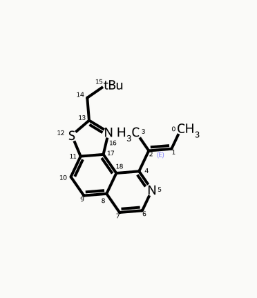 C/C=C(\C)c1nccc2ccc3sc(CC(C)(C)C)nc3c12